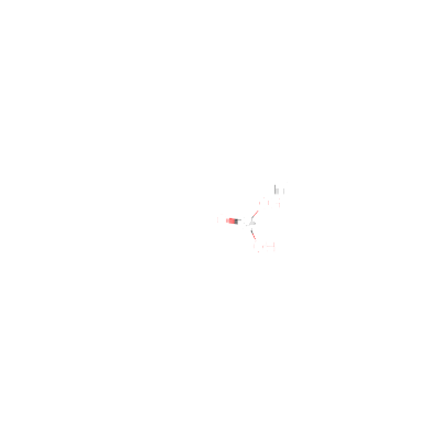 O=[Se](O)O.[In]